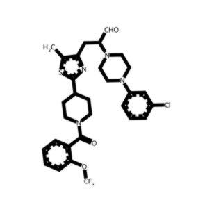 Cc1sc(C2CCN(C(=O)c3ccccc3OC(F)(F)F)CC2)nc1CC(C=O)N1CCN(c2cccc(Cl)c2)CC1